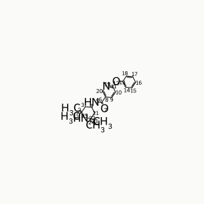 CC1(C)CC(NC(=O)c2ccc(Oc3ccccc3)nc2)CC(C)(C)N1